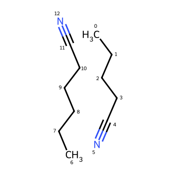 CCCCC#N.CCCCCC#N